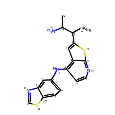 CCCCCC(c1cc2c(Nc3ccc4scnc4c3)ccnc2s1)C(C)N